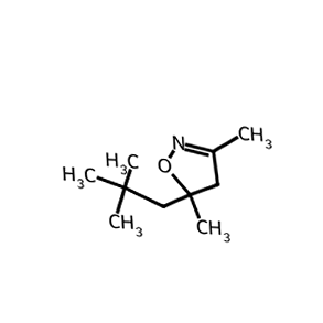 CC1=NOC(C)(CC(C)(C)C)C1